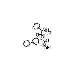 CCCNC(=O)C(NC(=O)C(N)c1cccnc1)c1ccc(-c2ccccc2)cc1